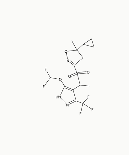 CC(c1c(C(F)(F)F)n[nH]c1OC(F)F)S(=O)(=O)C1=NOC(C)(C2CC2)C1